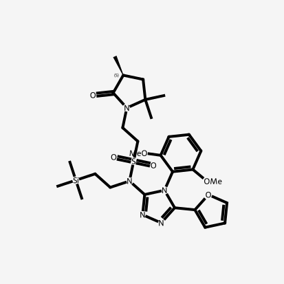 COc1cccc(OC)c1-n1c(-c2ccco2)nnc1N(CC[Si](C)(C)C)S(=O)(=O)CCN1C(=O)[C@@H](C)CC1(C)C